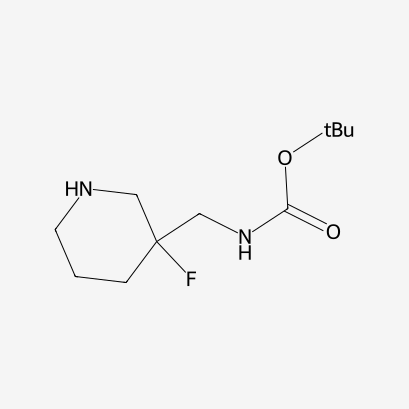 CC(C)(C)OC(=O)NCC1(F)CCCNC1